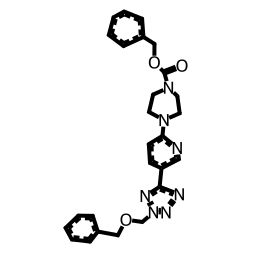 O=C(OCc1ccccc1)N1CCN(c2ccc(-c3nnn(COCc4ccccc4)n3)cn2)CC1